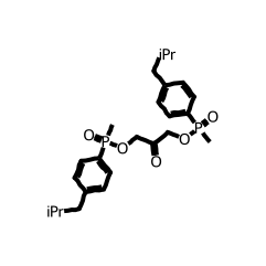 CC(C)Cc1ccc(P(C)(=O)OCC(=O)COP(C)(=O)c2ccc(CC(C)C)cc2)cc1